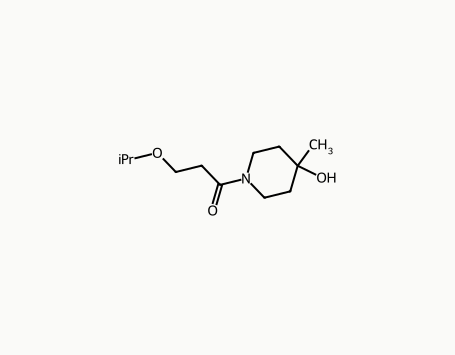 CC(C)OCCC(=O)N1CCC(C)(O)CC1